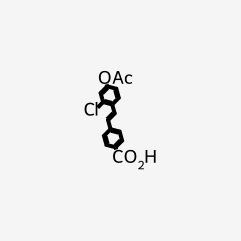 CC(=O)Oc1ccc(/C=C/c2ccc(C(=O)O)cc2)c(Cl)c1